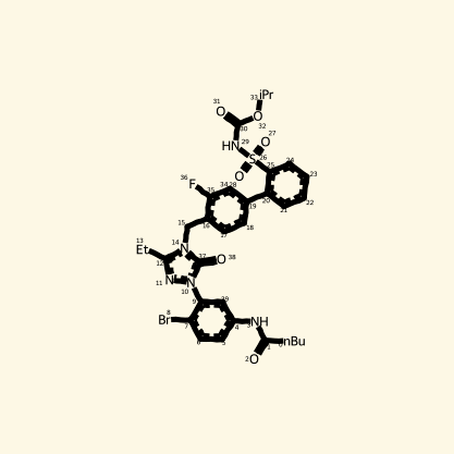 CCCCC(=O)Nc1ccc(Br)c(-n2nc(CC)n(Cc3ccc(-c4ccccc4S(=O)(=O)NC(=O)OC(C)C)cc3F)c2=O)c1